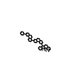 c1ccc(-c2ccc3ccc4c(-c5ccc6c(ccc7ccc(-c8c9ccccc9nc9c8ccc8cccnc89)cc76)c5)cccc4c3c2)cc1